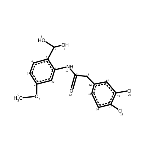 COc1ccc(C(O)O)c(NC(=O)Cc2ccc(Cl)c(Cl)c2)c1